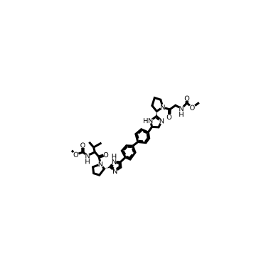 COC(=O)NCC(=O)N1CCC[C@H]1C1=NCC(c2ccc(-c3ccc(-c4cnc([C@@H]5CCCN5C(=O)C(NC(=O)OC)C(C)C)[nH]4)cc3)cc2)N1